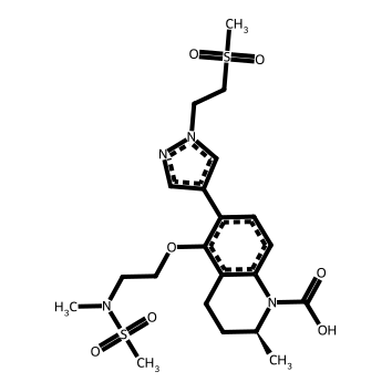 C[C@H]1CCc2c(ccc(-c3cnn(CCS(C)(=O)=O)c3)c2OCCN(C)S(C)(=O)=O)N1C(=O)O